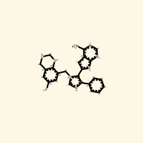 Nc1ncnc2sc(-c3c(-c4ccccc4)ncn3Cc3cc(F)cc4c3OCOC4)cc12